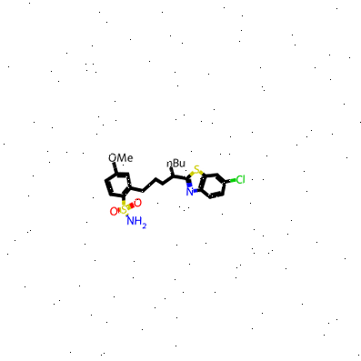 CCCCC(CCCc1cc(OC)ccc1S(N)(=O)=O)c1nc2ccc(Cl)cc2s1